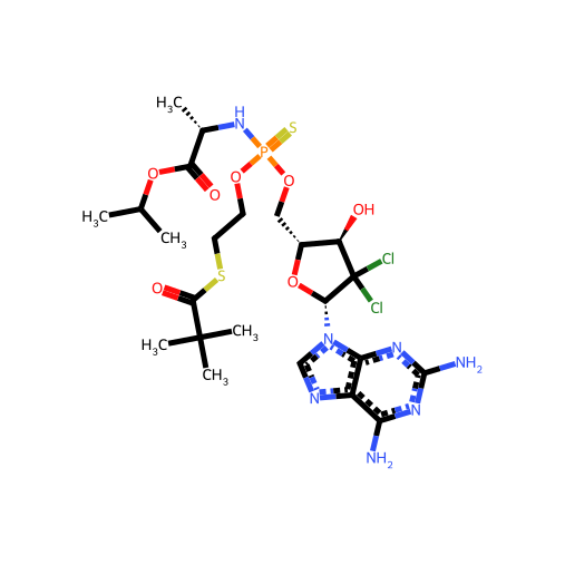 CC(C)OC(=O)[C@H](C)NP(=S)(OCCSC(=O)C(C)(C)C)OC[C@H]1O[C@@H](n2cnc3c(N)nc(N)nc32)C(Cl)(Cl)[C@@H]1O